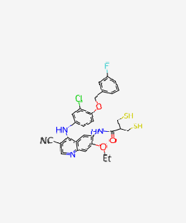 CCOc1cc2ncc(C#N)c(Nc3ccc(OCc4cccc(F)c4)c(Cl)c3)c2cc1NC(=O)C(CS)CS